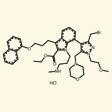 CCOC(=O)c1c(CCCOc2cccc3ccccc23)c2cccc(-c3c(CBr)nn(CCOC)c3CN3CCOCC3)c2n1CCCNC.Cl